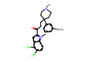 CC(=O)Nc1cccc(C2(CCC(=O)c3cc4c(Cl)c(Cl)ccc4n3C)CCN(C(C)=O)CC2)c1